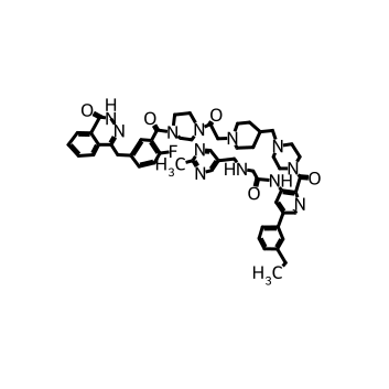 CCc1cccc(-c2cnc(C(=O)N3CCN(CC4CCN(CC(=O)N5CCN(C(=O)c6cc(Cc7n[nH]c(=O)c8ccccc78)ccc6F)CC5)CC4)CC3)c(NC(=O)CNCc3cnc(C)nc3)c2)c1